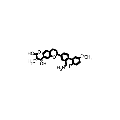 COc1ccc(F)c(-c2ccc(C3CCc4ccc([C@H](O)[C@H](C)C(=O)O)cc4O3)cc2CN)c1